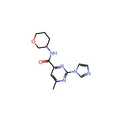 Cc1cc(C(=O)N[C@@H]2CCCOC2)nc(-n2ccnc2)n1